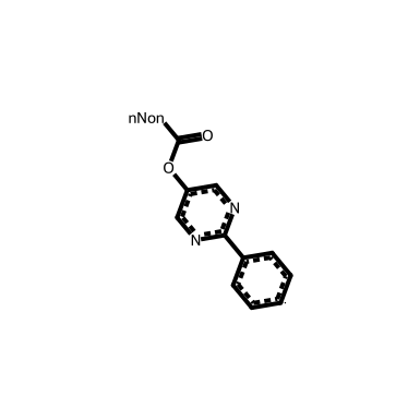 CCCCCCCCCC(=O)Oc1cnc(-c2cc[c]cc2)nc1